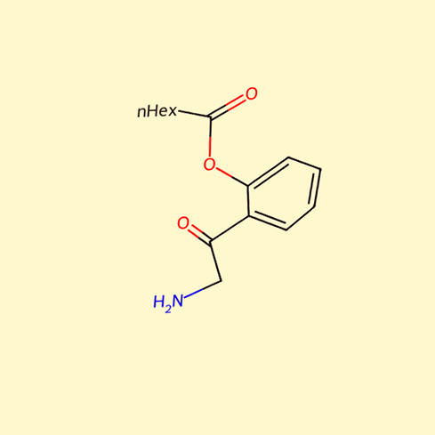 CCCCCCC(=O)Oc1ccccc1C(=O)CN